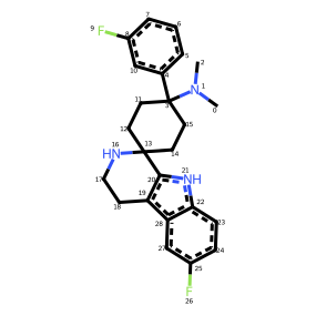 CN(C)C1(c2cccc(F)c2)CCC2(CC1)NCCc1c2[nH]c2ccc(F)cc12